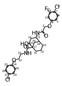 O=C(COc1ccc(Cl)c(F)c1)NC1CC(O)C2(C(=O)NCCOc3ccc(Cl)cc3)CCCC1C2